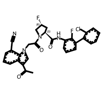 CC(=O)c1cn(CC(=O)N2C[C@H](F)C[C@H]2C(=O)Nc2cccc(-c3ccccc3Cl)c2F)c2c(C#N)cccc12